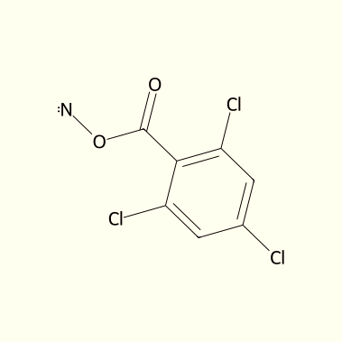 [N]OC(=O)c1c(Cl)cc(Cl)cc1Cl